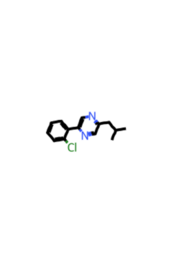 CC(C)Cc1cnc(-c2ccccc2Cl)cn1